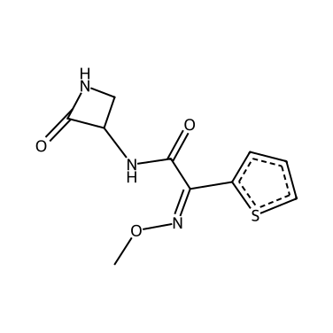 CON=C(C(=O)NC1CNC1=O)c1cccs1